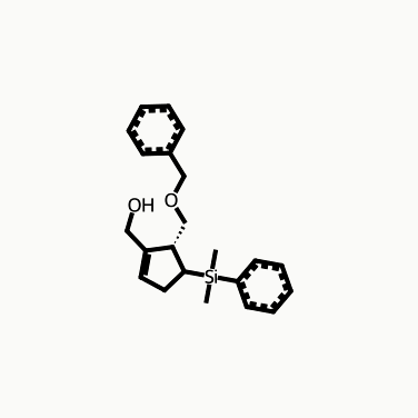 C[Si](C)(c1ccccc1)C1CC=C(CO)[C@@H]1COCc1ccccc1